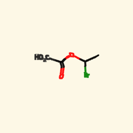 CC(Br)OC(=O)C(=O)O